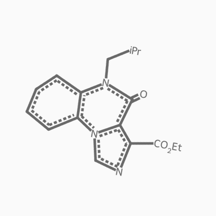 CCOC(=O)c1ncn2c1c(=O)n(CC(C)C)c1ccccc12